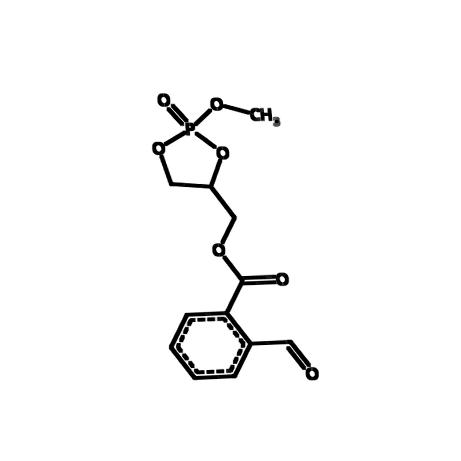 COP1(=O)OCC(COC(=O)c2ccccc2C=O)O1